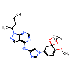 CCCC(C)n1ncc2c(Nc3cn(C4=CC=C(OC)C(OC)(OC)C4)cn3)ncnc21